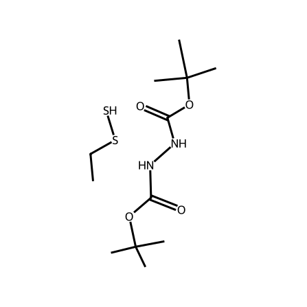 CC(C)(C)OC(=O)NNC(=O)OC(C)(C)C.CCSS